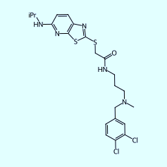 CC(C)Nc1ccc2nc(SCC(=O)NCCCN(C)Cc3ccc(Cl)c(Cl)c3)sc2n1